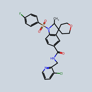 CC1N(S(=O)(=O)c2ccc(F)cc2)c2ccc(C(=O)NCc3ncccc3Cl)cc2C12CCOCC2